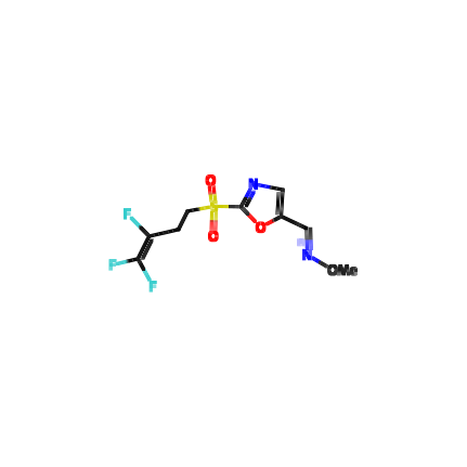 CO/N=C/c1cnc(S(=O)(=O)CCC(F)=C(F)F)o1